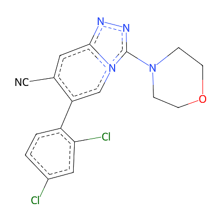 N#Cc1cc2nnc(N3CCOCC3)n2cc1-c1ccc(Cl)cc1Cl